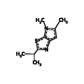 Cc1cc2nc(C(C)C)sc2n1C